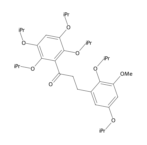 COc1cc(OC(C)C)cc(CCC(=O)c2c(OC(C)C)c(OC(C)C)cc(OC(C)C)c2OC(C)C)c1OC(C)C